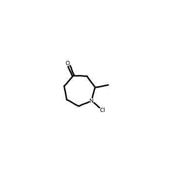 CC1CC(=O)CCCN1Cl